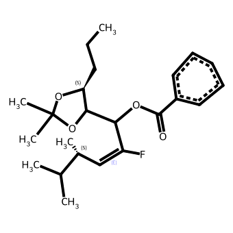 CCC[C@@H]1OC(C)(C)OC1C(OC(=O)c1ccccc1)/C(F)=C\[C@@H](C)C(C)C